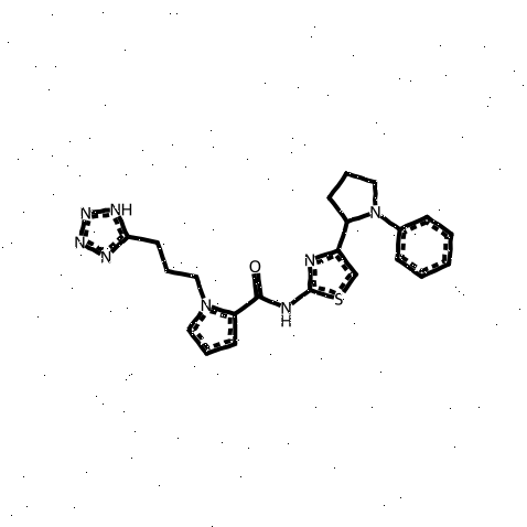 O=C(Nc1nc(C2CCCN2c2ccccc2)cs1)c1cccn1CCCc1nnn[nH]1